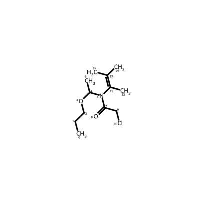 CCCOC(C)N(C(=O)CCl)C(C)=C(C)C